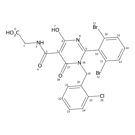 O=C(O)CNC(=O)c1c(O)nc(-c2c(Br)cccc2Br)n(Cc2ccccc2Cl)c1=O